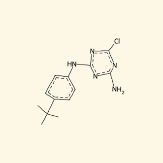 CC(C)(C)c1ccc(Nc2nc(N)nc(Cl)n2)cc1